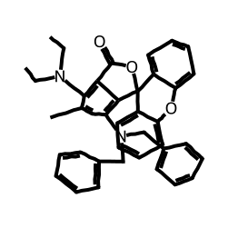 CCN(CC)c1c(C)cc(N(Cc2ccccc2)Cc2ccccc2)c2c1C(=O)OC21c2ccccc2Oc2ccccc21